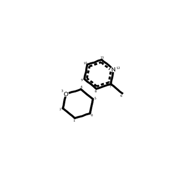 C1CCOCC1.Cc1ccccn1